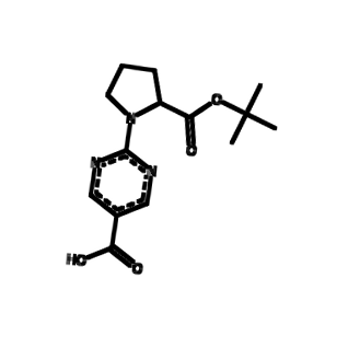 CC(C)(C)OC(=O)C1CCCN1c1ncc(C(=O)O)cn1